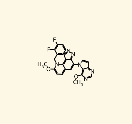 COc1ncnc2ccn(-c3cc4ccc(OC)n(Cc5cccc(F)c5F)c4c4cnnc34)c12